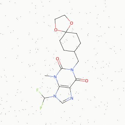 Cn1c(=O)n(CC2CCC3(CC2)OCCO3)c(=O)c2ncn(C(F)F)c21